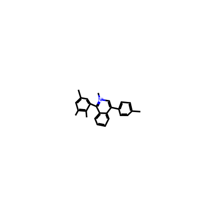 Cc1ccc(-c2c[n+](C)c(-c3cc(C)cc(C)c3C)c3ccccc23)cc1